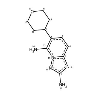 Nc1nc2ccc(C3CCOCC3)c(N)n2n1